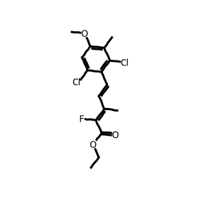 CCOC(=O)/C(F)=C(C)/C=C/c1c(Cl)cc(OC)c(C)c1Cl